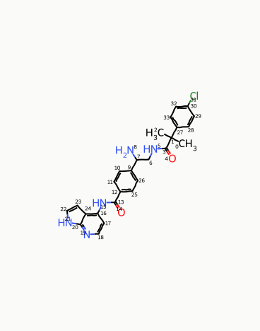 CC(C)(C(=O)NCC(N)c1ccc(C(=O)Nc2ccnc3[nH]ccc23)cc1)c1ccc(Cl)cc1